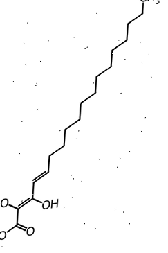 CCCCCCCCCCCCC/C=C/C(O)=C(\O)C(=O)O